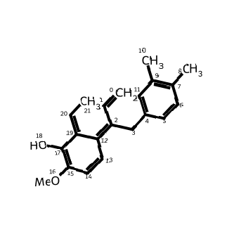 C=C/C(Cc1ccc(C)c(C)c1)=c1/ccc(OC)c(O)/c1=C/C